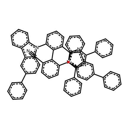 N#Cc1cccc(-n2c3ccccc3c3cc(-c4ccccc4)ccc32)c1-c1c(-c2nc(-c3ccccc3)nc(-c3ccccc3)n2)cccc1-n1c2ccccc2c2cc(-c3ccccc3)ccc21